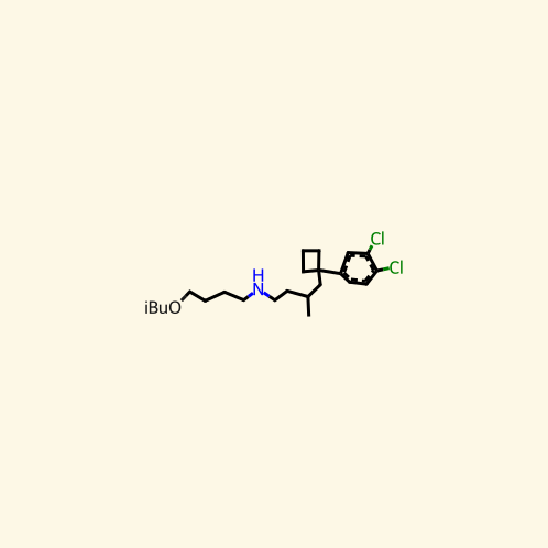 CC(C)COCCCCNCCC(C)CC1(c2ccc(Cl)c(Cl)c2)CCC1